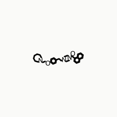 O=C(c1cccc2ccccc12)N1CCN(CCc2ccc(OCCN3CCCCCCC3)cc2)CC1